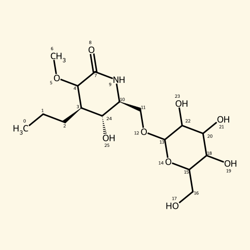 CCC[C@H]1C(OC)C(=O)N[C@@H](COC2OC(CO)C(O)C(O)C2O)[C@@H]1O